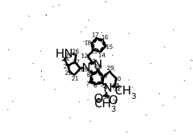 COC(=O)N1c2ccc3c(nc(Cc4ccccc4)n3C3CCC4CNCC43)c2CC[C@@H]1C